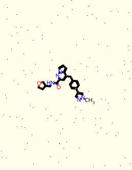 Cn1cc(-c2ccc(Cc3cc(C(=O)NCC4CCOC4)nn4cccc34)cc2)cn1